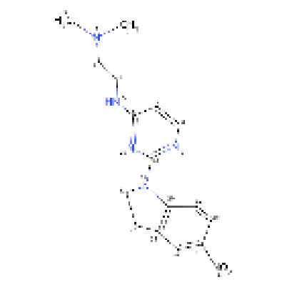 CN(C)CCNc1ccnc(N2CCc3cc([N+](=O)[O-])ccc32)n1